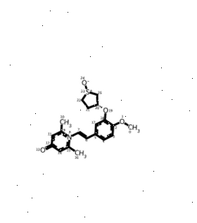 COc1ccc(/C=C/n2c(C)cc(=O)cc2C)cc1O[C@@H]1CC[S+]([O-])C1